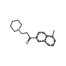 Cc1cccc2cc(C(=O)CCN3CCCCC3)ccc12